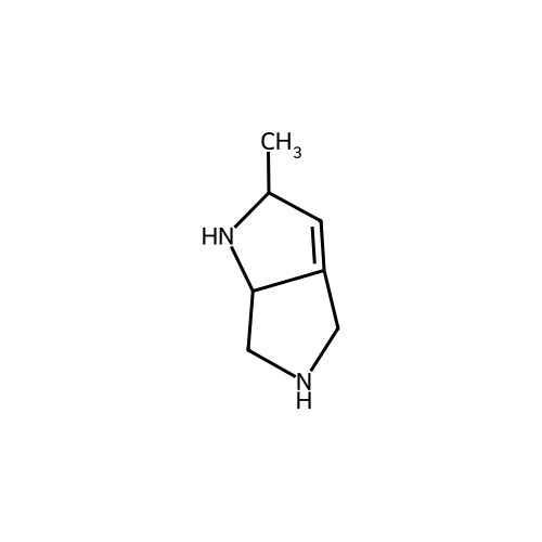 CC1C=C2CNCC2N1